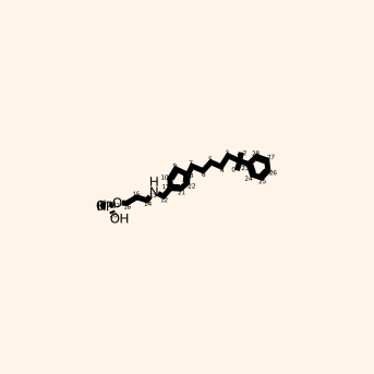 CC(C)(CCCCCc1ccc(CNCCCO[PH](=O)O)cc1)c1ccccc1